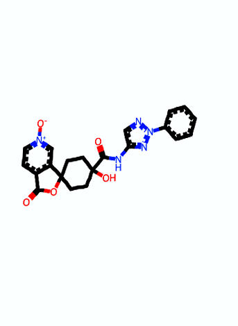 O=C1OC2(CCC(O)(C(=O)Nc3cnn(-c4ccccc4)n3)CC2)c2c[n+]([O-])ccc21